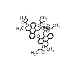 C=CC(=O)OC(C)Cc1c2ccccc2c(CC(C)OC(=O)C=C)c2c(Oc3cccc4c(CC(C)OC(=O)C=C)c5ccccc5c(CC(C)OC(=O)C=C)c34)cccc12